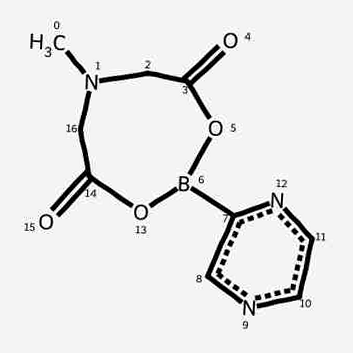 CN1CC(=O)OB(c2cnccn2)OC(=O)C1